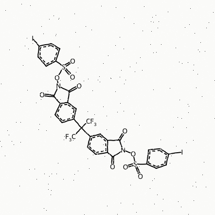 O=C1c2ccc(C(c3ccc4c(c3)C(=O)N(OS(=O)(=O)c3ccc(I)cc3)C4=O)(C(F)(F)F)C(F)(F)F)cc2C(=O)N1OS(=O)(=O)c1ccc(I)cc1